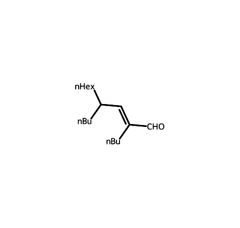 CCCCCCC(/C=C(/C=O)CCCC)CCCC